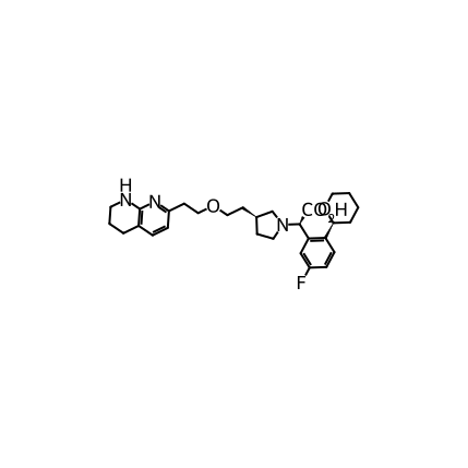 O=C(O)[C@@H](c1cc(F)ccc1[C@@H]1CCCCO1)N1CC[C@@H](CCOCCc2ccc3c(n2)NCCC3)C1